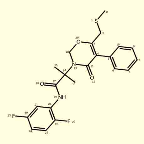 CSCC1=C(c2ccccc2)C(=O)N(C(C)(C)C(=O)Nc2cc(F)ccc2F)CO1